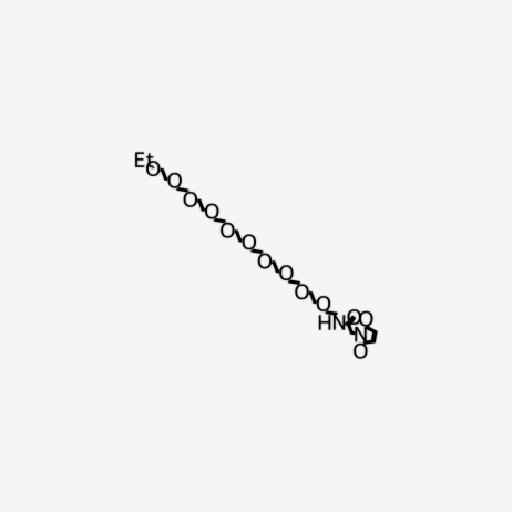 [CH2]COCCOCCOCCOCCOCCOCCOCCOCCOCCOCCNC(=O)CN1C(=O)C=CC1=O